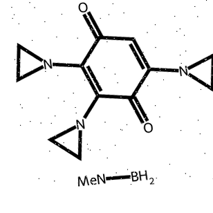 BNC.O=C1C=C(N2CC2)C(=O)C(N2CC2)=C1N1CC1